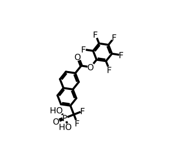 O=C(Oc1c(F)c(F)c(F)c(F)c1F)c1ccc2ccc(C(F)(F)P(=O)(O)O)cc2c1